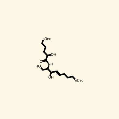 CCCCCCCCCCCCC/C=C/C(O)C(CO)NC(=O)C(O)CCCCCCCCCCCCC